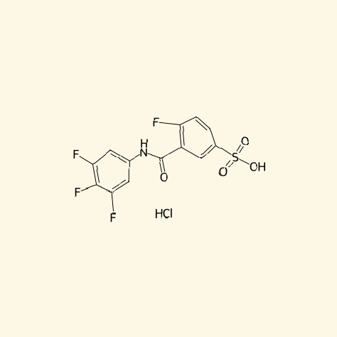 Cl.O=C(Nc1cc(F)c(F)c(F)c1)c1cc(S(=O)(=O)O)ccc1F